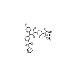 CC(C)(C)N(C(=O)O)[C@H]1CC[C@@H](n2c(=O)c3cc(F)cnc3n(-c3cccc(C(=O)NC4CN5CCC4CC5)c3)c2=O)CC1